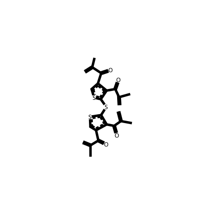 C=C(C)C(=O)c1csc(Sc2scc(C(=O)C(=C)C)c2C(=O)C(=C)C)c1C(=O)C(=C)C